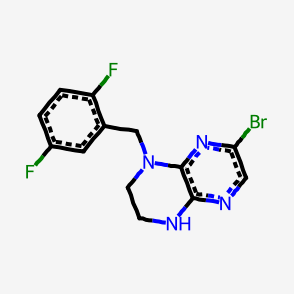 Fc1ccc(F)c(CN2CCNc3ncc(Br)nc32)c1